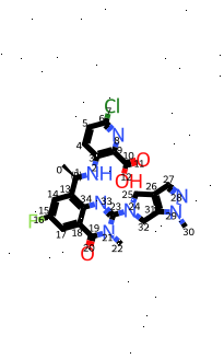 C[C@@H](Nc1ccc(Cl)nc1C(=O)O)c1cc(F)cc2c(=O)n(C)c(N3Cc4cnn(C)c4C3)nc12